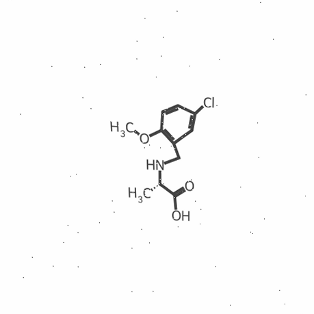 COc1ccc(Cl)cc1CN[C@@H](C)C(=O)O